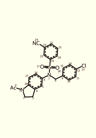 CC(=O)N1CCc2cc(N(Cc3ccc(Cl)cc3)S(=O)(=O)c3cccc(C#N)c3)ccc21